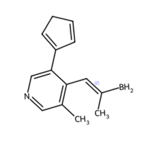 B/C(C)=C/c1c(C)cncc1C1=CCC=C1